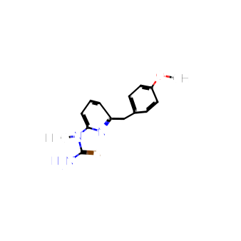 COc1ccc(Cc2cccc(N(C)C(N)=S)n2)cc1